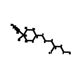 CCCC(I)CCCC1CCC(C)(C#N)CC1